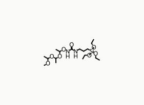 CCO[Si](CCCNC(=O)NOC(C)OC(C)OC(C)OC)(OCC)OCC